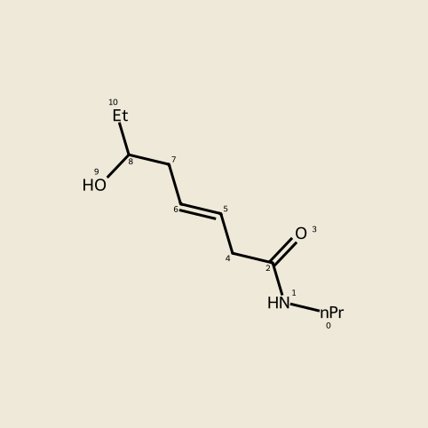 CCCNC(=O)CC=CCC(O)CC